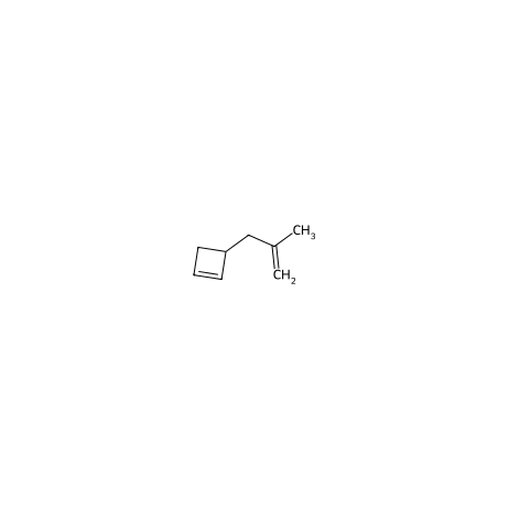 C=C(C)CC1C=CC1